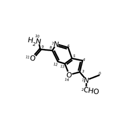 CN(C=O)c1cc2cnc(C(N)=O)cc2o1